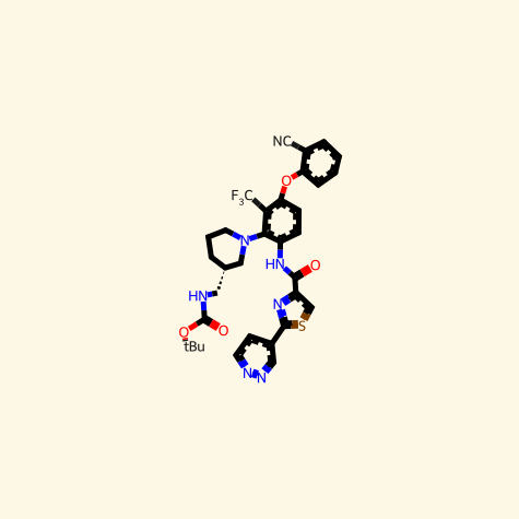 CC(C)(C)OC(=O)NC[C@@H]1CCCN(c2c(NC(=O)c3csc(-c4ccnnc4)n3)ccc(Oc3ccccc3C#N)c2C(F)(F)F)C1